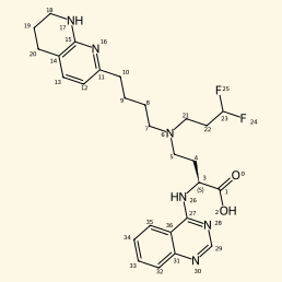 O=C(O)[C@H](CCN(CCCCc1ccc2c(n1)NCCC2)CCC(F)F)Nc1ncnc2ccccc12